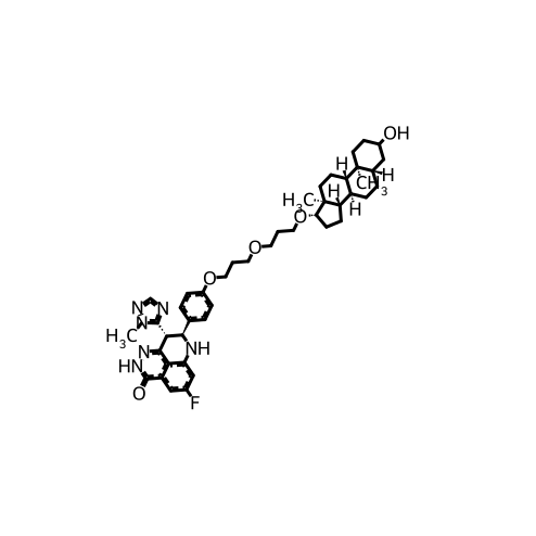 Cn1ncnc1[C@H]1c2n[nH]c(=O)c3cc(F)cc(c23)N[C@@H]1c1ccc(OCCCOCCCO[C@H]2CC[C@H]3[C@@H]4CC[C@H]5CC(O)CC[C@]5(C)[C@H]4CC[C@]23C)cc1